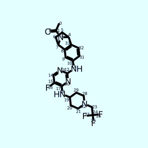 CC(=O)N1C2CCC1c1cc(Nc3ncc(F)c(NC4CCN(CC(F)(F)F)CC4)n3)ccc12